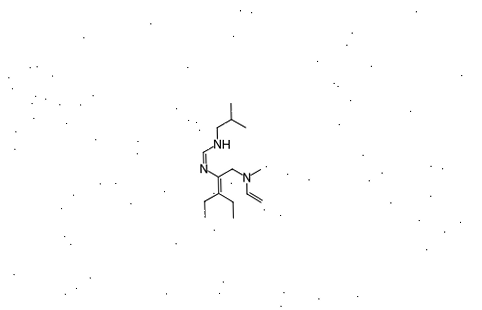 C=CN(C)CC(/N=C\NCC(C)C)=C(CC)CC